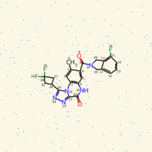 Cc1cc2c(cc1C(=O)N1Cc3cccc(F)c3C1)[nH]c(=O)c1nnc(C3CC(F)(F)C3)n12